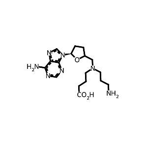 NCCCN(CCCC(=O)O)CC1CC[C@H](n2cnc3c(N)ncnc32)O1